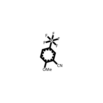 COc1ccc(S(F)(F)(F)(F)F)cc1C#N